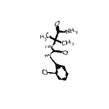 CC(C)(NC(=O)Nc1ccccc1Cl)C(N)=O